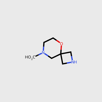 O=C(O)N1CCOC2(CNC2)C1